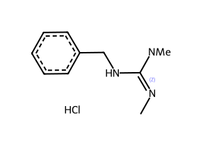 C/N=C(/NC)NCc1ccccc1.Cl